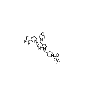 CC(C)(C)OC(=O)N1CCC(Cn2ccc3c(N4CCOCC4c4ccc(C(F)(F)F)cn4)ncnc32)CC1